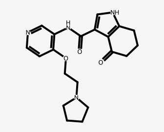 O=C(Nc1cnccc1OCCN1CCCC1)c1c[nH]c2c1C(=O)CCC2